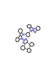 c1cc(-n2c3ccccc3c3c4ccccc4n(-c4ncc5c(n4)-c4ccccc4-c4ccccc4-c4ccccc4-5)c32)cc(-n2c3ccccc3n3c4ccccc4nc23)c1